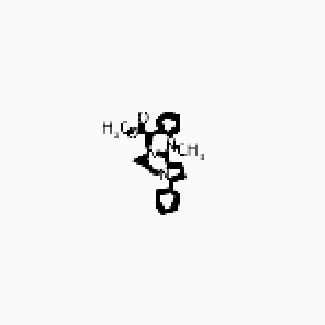 COC(=O)C1=CN=C(c2ccc(-c3ccccc3)n2CC2CC2)N(C)c2ccccc21